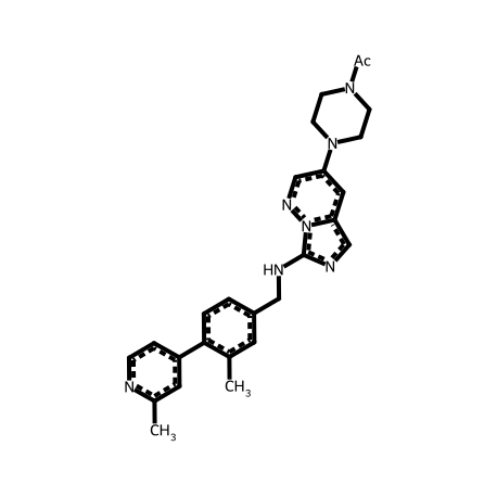 CC(=O)N1CCN(c2cnn3c(NCc4ccc(-c5ccnc(C)c5)c(C)c4)ncc3c2)CC1